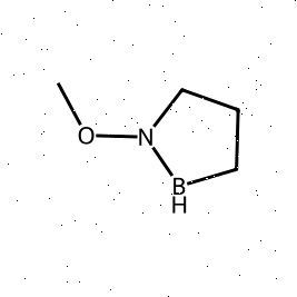 CON1BCCC1